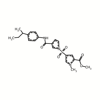 CCC(C)c1ccc(NC(=O)c2ccn(S(=O)(=O)c3cc(C(=O)OC)n(C)c3)c2)cc1